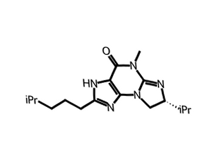 CC(C)CCCc1nc2c([nH]1)C(=O)N(C)C1=N[C@H](C(C)C)CN12